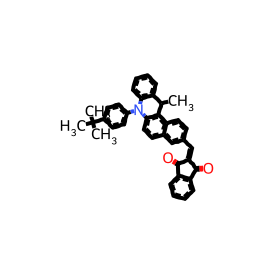 CC1c2ccccc2N(c2ccc(C(C)(C)C)cc2)c2ccc3cc(C=C4C(=O)c5ccccc5C4=O)ccc3c21